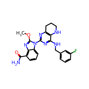 COc1nc2c(C(N)=O)cccc2n1-c1nc2c(c(NCc3cccc(F)c3)n1)NCCC2